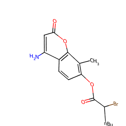 CCCCC(Br)C(=O)Oc1ccc2c(N)cc(=O)oc2c1C